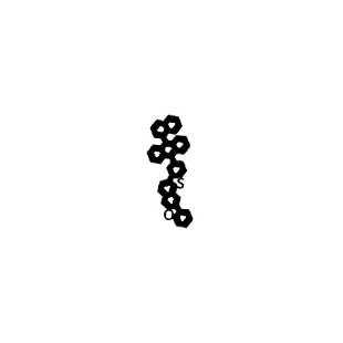 C1=CC2C=CC=C(c3c4ccccc4c(C4=CC=C5Sc6c(ccc7cc8oc9ccccc9c8cc67)C5C4)c4ccccc34)C2C=C1